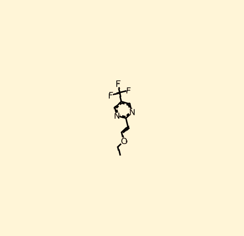 CCOC=Cc1ncc(C(F)(F)F)cn1